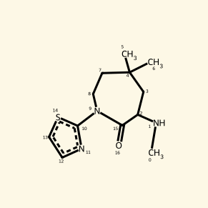 CNC1CC(C)(C)CCN(c2nccs2)C1=O